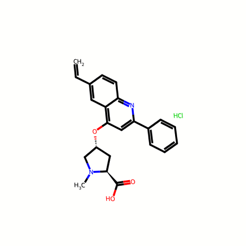 C=Cc1ccc2nc(-c3ccccc3)cc(O[C@@H]3C[C@@H](C(=O)O)N(C)C3)c2c1.Cl